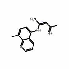 CC(=N)/C=C(/N)Nc1ccc(C)c2ncccc12